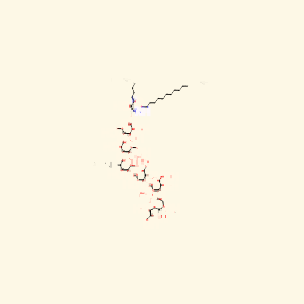 CCCCCCCCCCCCC/C=C/[C@@H](O)[C@H](CO[C@@H]1OC(CO)[C@@H](O[C@@H]2OC(CO)[C@H](O)[C@H](O[C@@H]3OC(CO)[C@@H](O[C@@H]4OC(CO)[C@H](O)[C@H](O[C@@H]5OC(CO)[C@H](O)[C@H](O[C@]6(C(=O)O)CC(O)[C@@H](NC(C)=O)C([C@H](O)[C@H](O)CO)O6)C5O)C4O)[C@H](O)C3NC(C)=O)C2O)[C@H](O)C1O)NC(=O)CCCCCCCCCCCCCCCCCCCCC